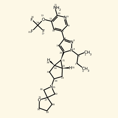 CCC(C)n1nc(-c2cnc(N)c(OC(F)(F)F)c2)cc1[C@H]1[C@@H]2CC(N3CC4(CCCO4)C3)C[C@@H]21